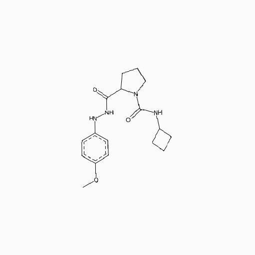 COc1ccc(NNC(=O)C2CCCN2C(=O)NC2CCC2)cc1